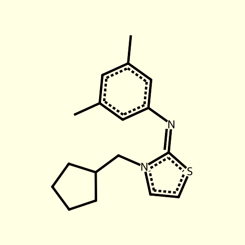 Cc1cc(C)cc(N=c2sccn2CC2CCCC2)c1